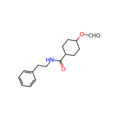 O=COC1CCC(C(=O)NCCc2ccccc2)CC1